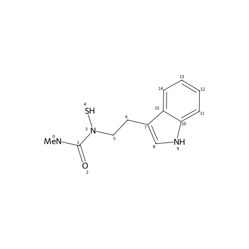 CNC(=O)N(S)CCc1c[nH]c2ccccc12